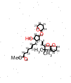 CCCCC(C)(C)[C@@H](C=C[C@@H]1[C@@H](CC=CCCCC(=O)OC)[C@H](O)C[C@H]1OC1CCCCO1)OC1CCCCO1